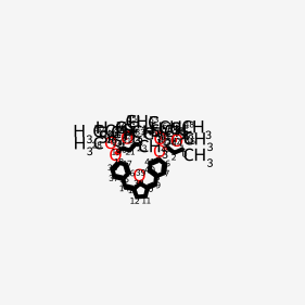 CCCC(Oc1ccc(C=C2CCC(=Cc3ccc(OC(CCC)[Si](C)(O[Si](C)(C)C)O[Si](C)(C)C)cc3)C2=O)cc1)[Si](C)(O[Si](C)(C)C)O[Si](C)(C)C